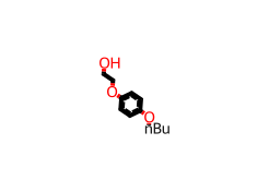 CCCCOc1ccc(OCCO)cc1